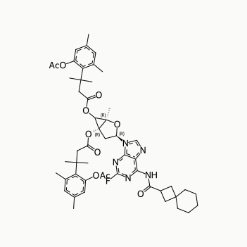 CC(=O)Oc1cc(C)cc(C)c1C(C)(C)CC(=O)OC1[C@@]2(C)O[C@@H](n3cnc4c(NC(=O)C5CC6(CCCCC6)C5)nc(F)nc43)C[C@@]12OC(=O)CC(C)(C)c1c(C)cc(C)cc1OC(C)=O